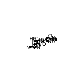 CC1(C(F)(F)F)CN(C(=O)Nc2cnc(-n3nccn3)c(Cl)c2)c2cnc3cc(C#N)nn3c21